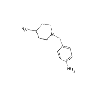 CC1CCN(Cc2ccc(N)cc2)CC1